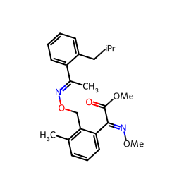 CO/N=C(/C(=O)OC)c1cccc(C)c1CO/N=C(\C)c1ccccc1CC(C)C